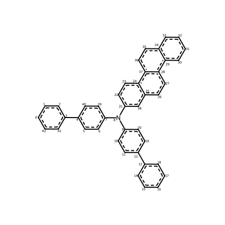 c1ccc(-c2ccc(N(c3ccc(-c4ccccc4)cc3)c3ccc4c(ccc5c6ccccc6ccc45)c3)cc2)cc1